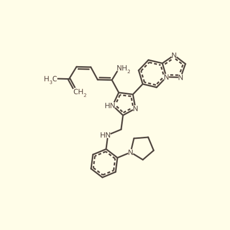 C=C(C)/C=C\C=C(/N)c1[nH]c(CNc2ccccc2N2CCCC2)nc1-c1ccc2ncnn2c1